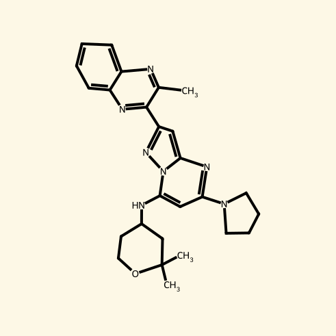 Cc1nc2ccccc2nc1-c1cc2nc(N3CCCC3)cc(NC3CCOC(C)(C)C3)n2n1